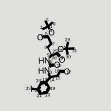 CC(C)(C)OC(=O)CC[C@H](NC(=O)NC(CC=O)c1cccc(I)c1)C(=O)OC(C)(C)C